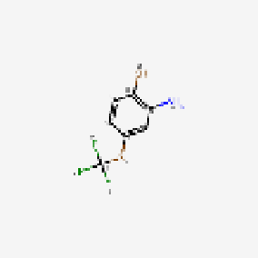 Nc1cc(SC(F)(F)F)ccc1S